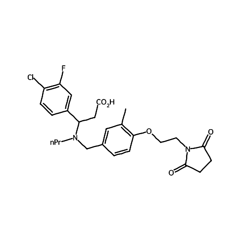 CCCN(Cc1ccc(OCCN2C(=O)CCC2=O)c(C)c1)C(CC(=O)O)c1ccc(Cl)c(F)c1